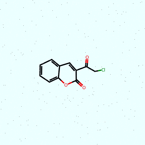 O=C(CCl)c1cc2ccccc2oc1=O